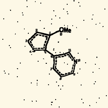 COc1ccsc1-c1cccnc1